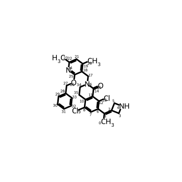 CC(=C1CNC1)c1cc(Cl)c2c(c1Cl)C(=O)N(Cc1c(C)cc(C)nc1OCc1ccccc1)CC2